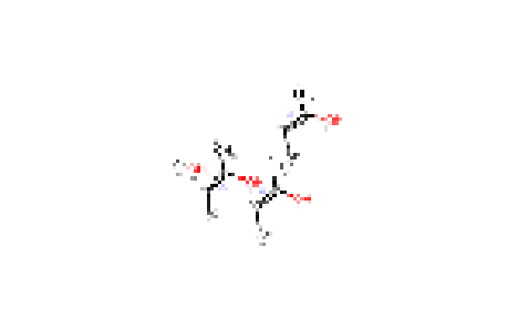 CC(=O)/C=C(/C)O.CC(=O)/C=C(/C)O.CC(=O)/C=C(/C)O.O.[Ce]